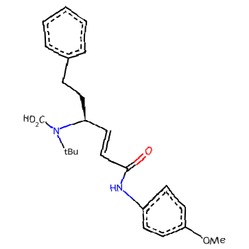 COc1ccc(NC(=O)C=C[C@H](CCc2ccccc2)N(C(=O)O)C(C)(C)C)cc1